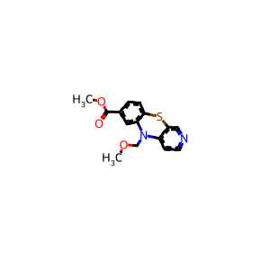 COCN1c2ccncc2Sc2ccc(C(=O)OC)cc21